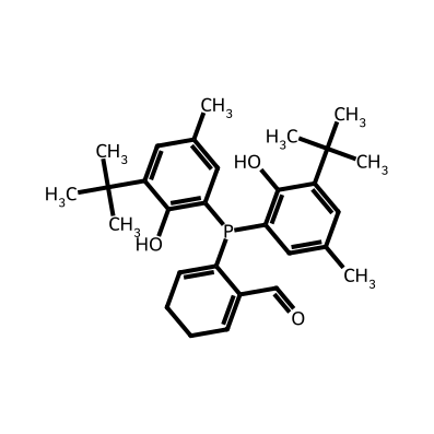 Cc1cc(P(C2=CCCC=C2C=O)c2cc(C)cc(C(C)(C)C)c2O)c(O)c(C(C)(C)C)c1